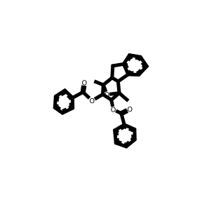 CC12OC(C)(C(OC(=O)c3ccccc3)C1OC(=O)c1ccccc1)C1c3ccccc3CC12